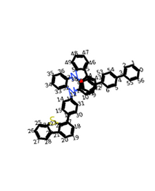 c1ccc(-c2ccc(-c3ccc(N(c4ccc(-c5cccc6c5sc5ccccc56)cc4)c4ccccc4-n4c5ccccc5c5ccccc54)cc3)cc2)cc1